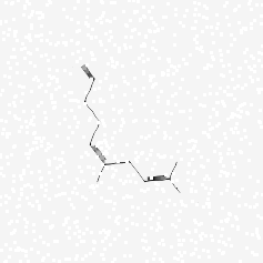 C=CCCC=C(C)CC=C(C)C